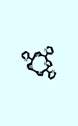 C1=CC2=C(c3ccccn3)C3=NC(=C(c4ccccn4)c4ccc([nH]4)C4=NC(=C(c5ccccn5)C1=N2)C=C4)C=C3